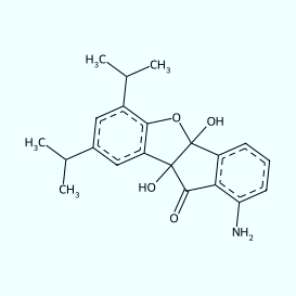 CC(C)c1cc(C(C)C)c2c(c1)C1(O)C(=O)c3c(N)cccc3C1(O)O2